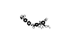 [C-]#[N+]c1cc(C(C)C)c2oc(-c3ccc(C(=O)NC[C@H]4CC[C@H](c5ccc(N6CCOC6=O)cc5)CC4)cc3)nc2c1